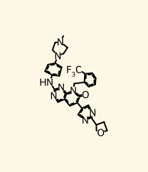 CN1CCN(c2ccc(Nc3ncc4cc(-c5cnc(C6CCOC6)nc5)c(=O)n(Cc5ccccc5C(F)(F)F)c4n3)cc2)CC1